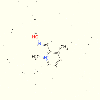 Cc1ccc[n+](C)c1C=NO